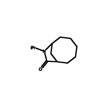 CC(C)N1C(=O)C2CCCCCC1C2